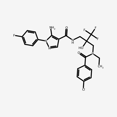 CCN(CC(O)(CNC(=O)c1cnn(-c2ccc(F)cc2)c1N)C(F)(F)F)C(=O)c1ccc(Cl)cc1